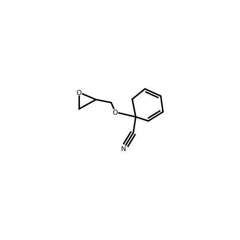 N#CC1(OCC2CO2)C=CC=CC1